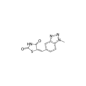 Cn1nnc2cc(C=C3SC(=O)NC3=O)ccc21